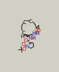 CC(C)(C)OC(=O)N1CCC[C@H]1C(=O)N[C@]12C[C@H]1CCCCCCCCCC1(CC1)S(=O)(=O)NC2=O